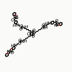 CCC(Cc1ccccc1)(C(=O)c1ccc(NCCOC(=O)NCCCCCCn2c(=O)n(CCCCCCNC(=O)OCCNc3ccc(C(=O)C(CC)(Cc4ccccc4)N(C)C)cc3)c(=O)n(CCCCCCNC(=O)OCCNc3ccc(C(=O)C(CC)(Cc4ccccc4)N(C)C)cc3)c2=O)cc1)N(C)C